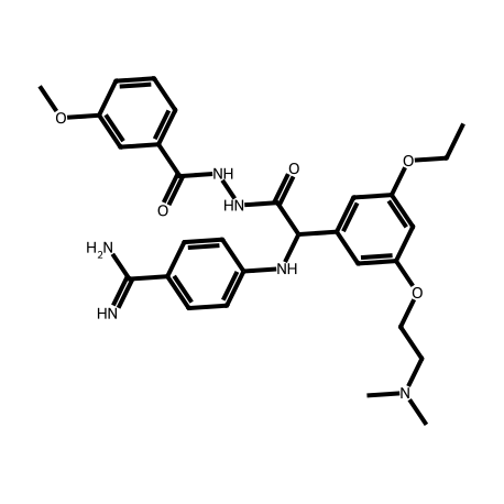 CCOc1cc(OCCN(C)C)cc(C(Nc2ccc(C(=N)N)cc2)C(=O)NNC(=O)c2cccc(OC)c2)c1